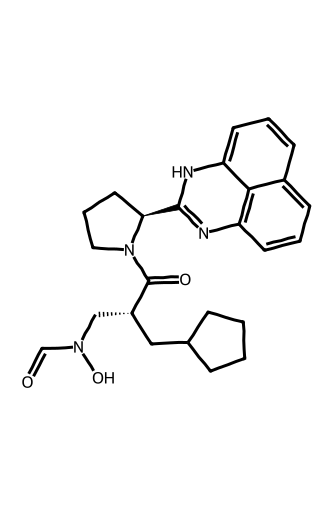 O=CN(O)C[C@@H](CC1CCCC1)C(=O)N1CCC[C@H]1C1=Nc2cccc3cccc(c23)N1